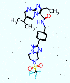 CCc1nc2ncc(C(C)C)cn2c1C(=O)NCc1ccc(-c2nc3n(n2)CCN(S(=O)(=O)C(F)(F)F)C3)cc1